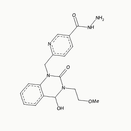 COCCN1C(=O)N(Cc2ccc(C(=O)NN)cn2)c2ccccc2C1O